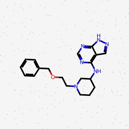 c1ccc(COCCN2CCCC(Nc3ncnc4[nH]ncc34)C2)cc1